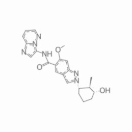 COc1cc2nn([C@H]3CCC[C@@H](O)[C@@H]3C)cc2cc1C(=O)Nc1cnc2cccnn12